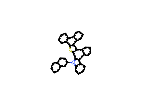 c1ccc2cc(-n3c4ccccc4c4c5ccccc5c5c(sc6c7ccccc7c7ccccc7c65)c43)ccc2c1